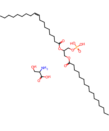 CCCCCCCC/C=C\CCCCCCCC(=O)OC(COC(=O)CCCCCCCCCCCCCCC)COP(=O)(O)O.NC(CO)C(=O)O